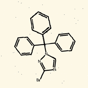 Brc1ncn(C(c2ccccc2)(c2ccccc2)c2ccccc2)n1